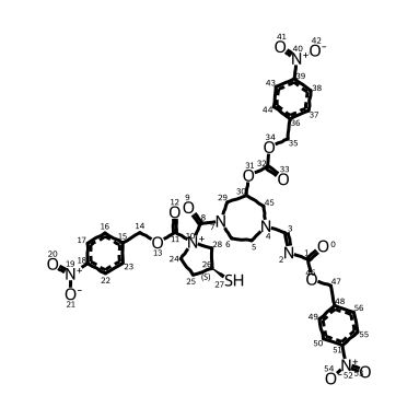 O=C(N=CN1CCN(C(=O)[N+]2(C(=O)OCc3ccc([N+](=O)[O-])cc3)CC[C@H](S)C2)CC(OC(=O)OCc2ccc([N+](=O)[O-])cc2)C1)OCc1ccc([N+](=O)[O-])cc1